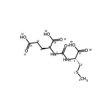 CSC[C@H](NC(=O)N[C@@H](CCC(=O)O)C(=O)O)C(=O)O